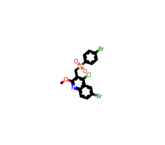 COc1nc2ccc(Br)cc2c(Cl)c1CS(=O)(=O)c1ccc(Br)cc1